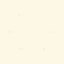 CCCc1c(C)cc(O)c(O)c1O